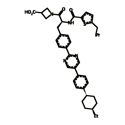 CC[C@H]1CC[C@H](c2ccc(-c3cnc(-c4ccc(C[C@H](NC(=O)c5ccc(CC(C)C)s5)C(=O)N5CC(C(=O)O)C5)cc4)nc3)cc2)CC1